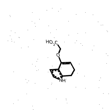 O=C(O)COC1=CCCc2[nH]ccc21